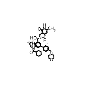 CCN(C(=O)C1CCCCC1)c1cc(-c2ccc(CN3CCOCC3)cc2)cc(C(O)NCc2c(C)cc(C)[nH]c2=O)c1C